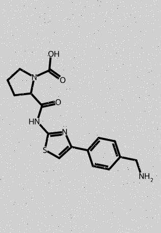 NCc1ccc(-c2csc(NC(=O)C3CCCN3C(=O)O)n2)cc1